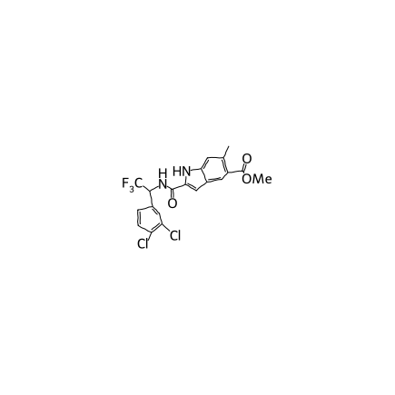 COC(=O)c1cc2cc(C(=O)NC(c3ccc(Cl)c(Cl)c3)C(F)(F)F)[nH]c2cc1C